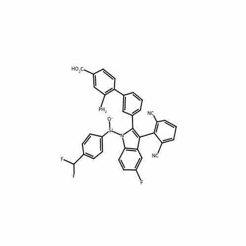 N#Cc1cccc(C#N)c1-c1c(-c2cccc(-c3ccc(C(=O)O)cc3P)c2)n([S+]([O-])c2ccc(C(F)F)cc2)c2ccc(F)cc12